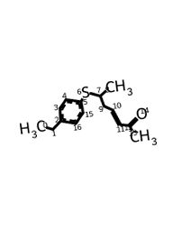 CCc1ccc(SC(C)CC=CC(C)=O)cc1